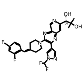 CC(C)(O)[C@@H](O)c1cc2nc(-c3cnn(C(F)F)c3)c(N3CCC(=Cc4ccc(F)cc4F)CC3)nc2cn1